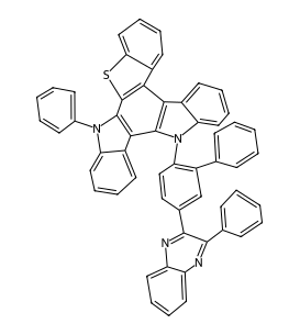 c1ccc(-c2cc(-c3nc4ccccc4nc3-c3ccccc3)ccc2-n2c3ccccc3c3c4c5ccccc5sc4c4c(c5ccccc5n4-c4ccccc4)c32)cc1